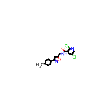 Cc1ccc(-c2cc(CNC(=O)c3cc(Cl)cnc3Cl)on2)cc1